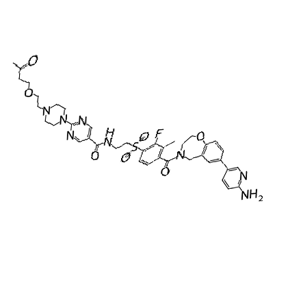 CC(=O)CCOCCN1CCN(c2ncc(C(=O)NCCS(=O)(=O)c3ccc(C(=O)N4CCOc5ccc(-c6ccc(N)nc6)cc5C4)c(C)c3F)cn2)CC1